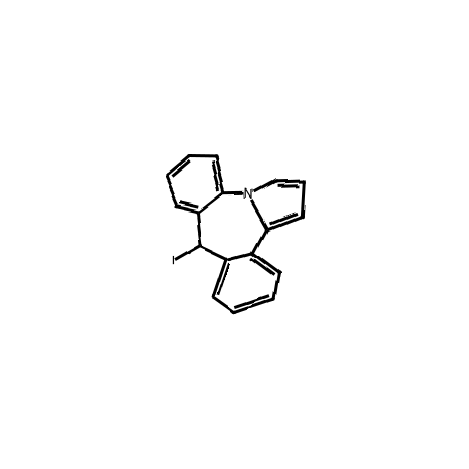 IC1c2ccccc2-c2cccn2-c2ccccc21